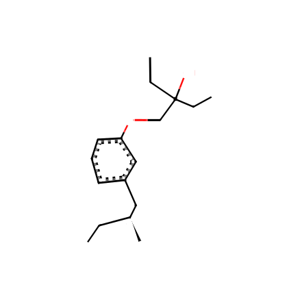 CC[C@H](C)Cc1cccc(OCC(O)(CC)CC)c1